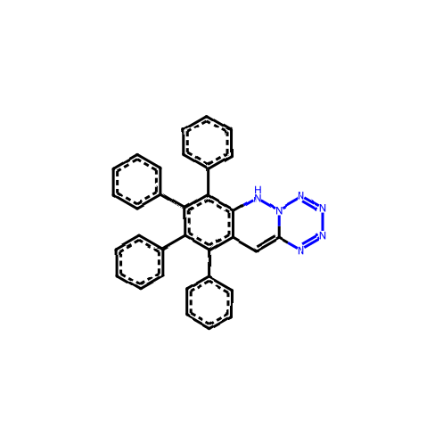 C1=C2N=NN=NN2Nc2c1c(-c1ccccc1)c(-c1ccccc1)c(-c1ccccc1)c2-c1ccccc1